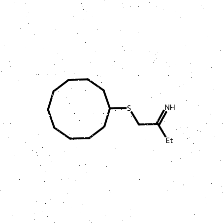 CCC(=N)CSC1CCCCCCCCC1